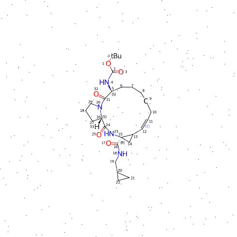 CC(C)(C)OC(=O)N[C@H]1CCCCC/C=C\C2C[C@@]2(C(=O)NCC2CC2)NC(=O)[C@@H]2CCCN2C1=O